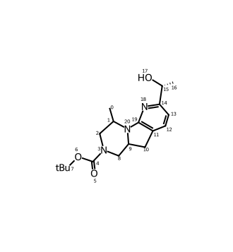 CC1CN(C(=O)OC(C)(C)C)CC2Cc3ccc([C@@H](C)O)nc3N12